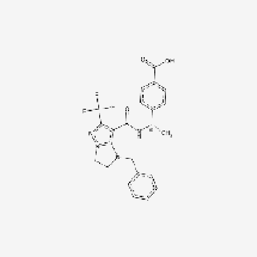 C[C@H](NC(=O)c1c(C(F)(F)F)nn2c1N(Cc1ccccc1)CC2)c1ccc(C(=O)O)cc1